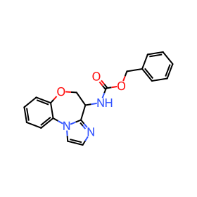 O=C(NC1COc2ccccc2-n2ccnc21)OCc1ccccc1